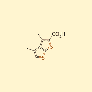 Cc1csc2sc(C(=O)O)c(C)c12